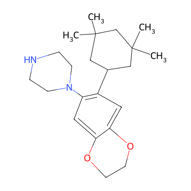 CC1(C)CC(c2cc3c(cc2N2CCNCC2)OCCO3)CC(C)(C)C1